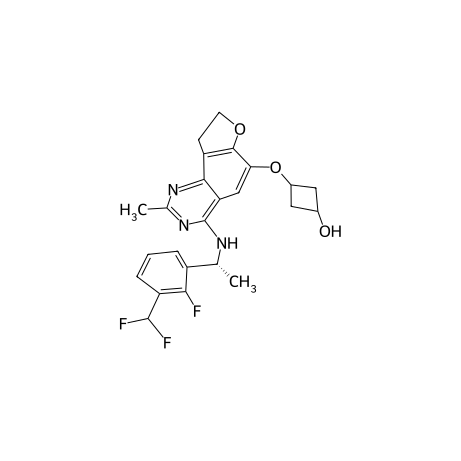 Cc1nc(N[C@H](C)c2cccc(C(F)F)c2F)c2cc(OC3CC(O)C3)c3c(c2n1)CCO3